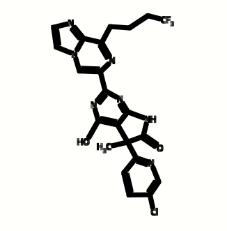 CC1(c2ccc(Cl)cn2)C(=O)Nc2nc(-c3cn4ccnc4c(CCCC(F)(F)F)n3)nc(O)c21